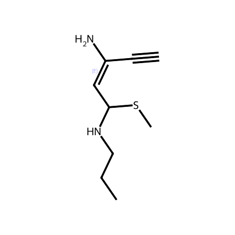 C#C/C(N)=C\C(NCCC)SC